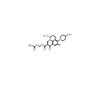 C[C@H]1CCc2c(N3CCC(O)CC3)c(F)cc3c(=O)c(C(=O)OCOC(=O)C(C)(C)C)cn1c23